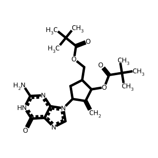 C=C1C(OC(=O)C(C)(C)C)C(COC(=O)C(C)(C)C)CC1n1cnc2c(=O)[nH]c(N)nc21